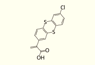 C=C(C(=O)O)c1ccc2c(c1)Sc1ccc(Cl)cc1S2